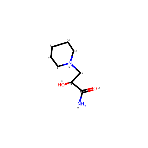 NC(=O)[C@@H](O)CN1CCCCC1